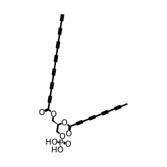 C#CC#CC#CC#CC#CC#CC#CC(=O)OC[C@H](COP(=O)(O)O)OC(=O)C#CC#CC#CC#CC